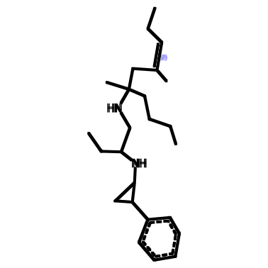 CC/C=C(/C)CC(C)(CCCC)NCC(CC)NC1CC1c1ccccc1